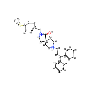 O=C1N(Cc2ccc(SC(F)(F)F)cc2)CCC12CCN(CCC(c1ccccc1)c1ccccc1)CC2